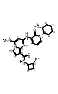 CNc1cc(Nc2cccn([C@H]3CCCC[C@H]3O)c2=O)nc2c(C(=O)NC3CC[C@@H]3F)cnn12